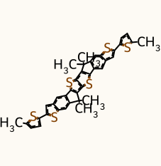 Cc1ccc(-c2cc3cc4c(cc3s2)C(C)(C)c2c-4sc3c4c(sc23)-c2cc3cc(-c5ccc(C)s5)sc3cc2C4(C)C)s1